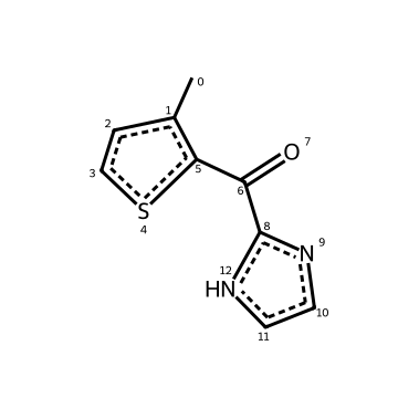 Cc1ccsc1C(=O)c1ncc[nH]1